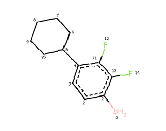 Bc1ccc(C2CCCCC2)c(F)c1F